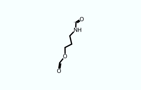 O=[C]NCCCOC=O